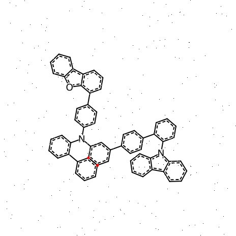 c1ccc(-c2ccccc2N(c2ccc(-c3cccc4c3oc3ccccc34)cc2)c2cccc(-c3ccc(-c4ccccc4-n4c5ccccc5c5ccccc54)cc3)c2)cc1